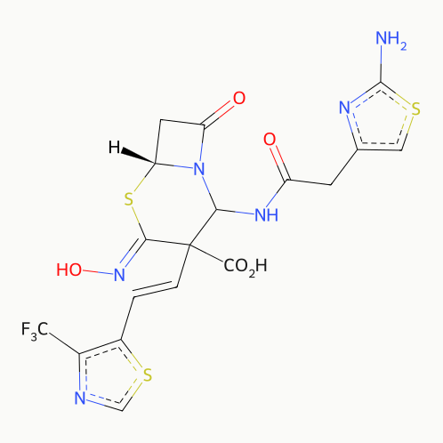 Nc1nc(CC(=O)NC2N3C(=O)C[C@H]3SC(=NO)C2(C=Cc2scnc2C(F)(F)F)C(=O)O)cs1